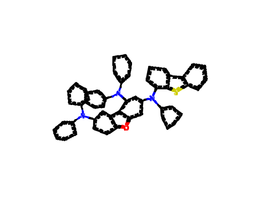 c1ccc(N(c2ccccc2)c2ccc3oc4cc(N(c5ccccc5)c5cccc6c5sc5ccccc56)cc(N(c5ccccc5)c5ccccc5)c4c3c2)cc1